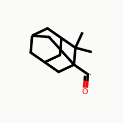 CC1(C)C2CC3CC(C2)CC1([C]=O)C3